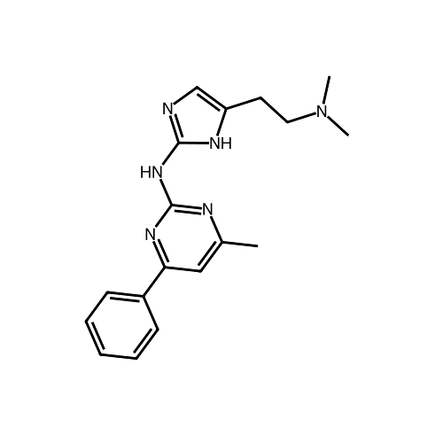 Cc1cc(-c2ccccc2)nc(Nc2ncc(CCN(C)C)[nH]2)n1